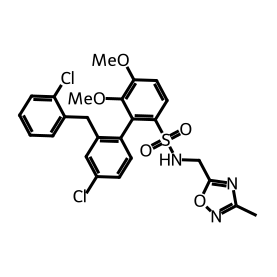 COc1ccc(S(=O)(=O)NCc2nc(C)no2)c(-c2ccc(Cl)cc2Cc2ccccc2Cl)c1OC